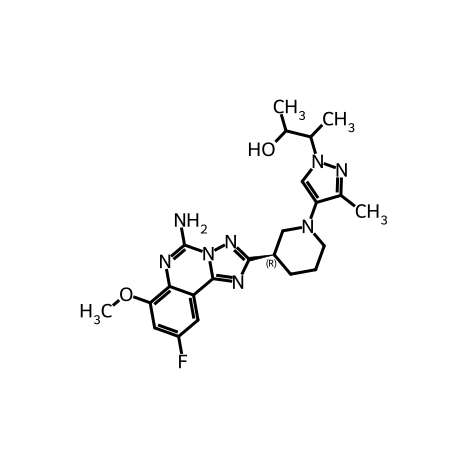 COc1cc(F)cc2c1nc(N)n1nc([C@@H]3CCCN(c4cn(C(C)C(C)O)nc4C)C3)nc21